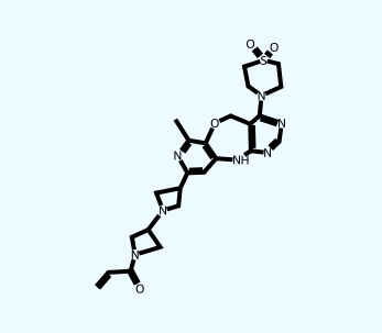 C=CC(=O)N1CC(N2CC(c3cc4c(c(C)n3)OCc3c(ncnc3N3CCS(=O)(=O)CC3)N4)C2)C1